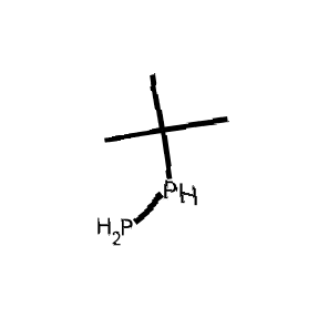 CC(C)(C)PP